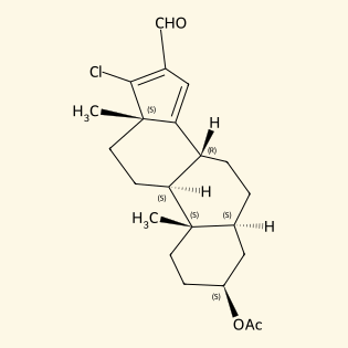 CC(=O)O[C@H]1CC[C@@]2(C)[C@@H](CC[C@H]3C4=CC(C=O)=C(Cl)[C@@]4(C)CC[C@@H]32)C1